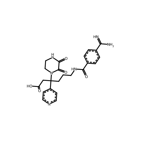 N=C(N)c1ccc(C(=O)NCCCC(CC(=O)O)(c2ccncc2)N2CCNC(=O)C2=O)cc1